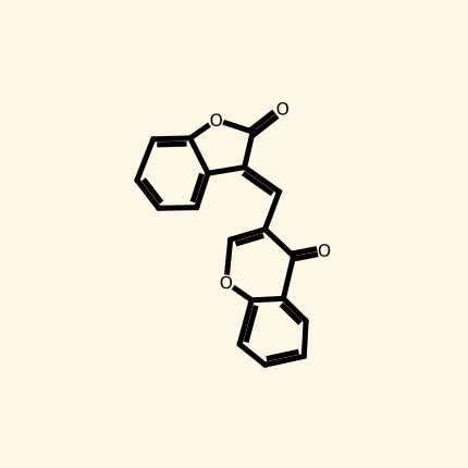 O=C1Oc2ccccc2/C1=C\c1coc2ccccc2c1=O